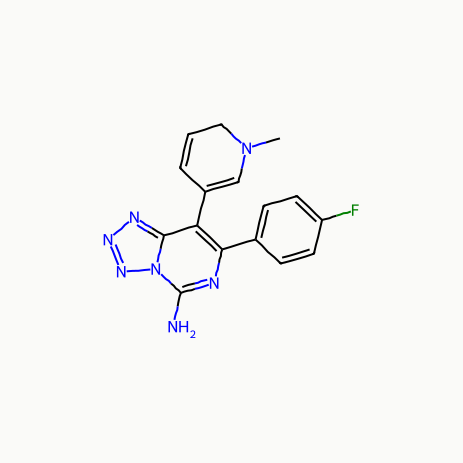 CN1C=C(c2c(-c3ccc(F)cc3)nc(N)n3nnnc23)C=CC1